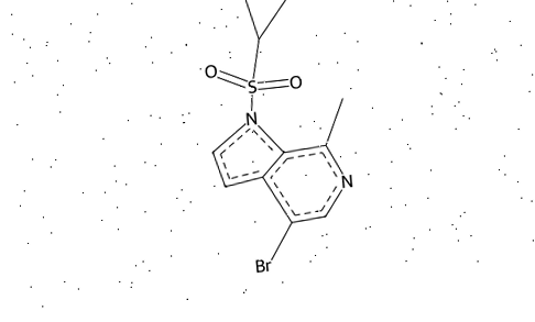 Cc1ncc(Br)c2ccn(S(=O)(=O)C3CC3)c12